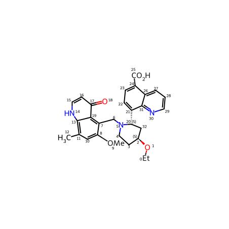 CCO[C@H]1CCN(Cc2c(OC)cc(C)c3[nH]ccc(=O)c23)[C@H](c2ccc(C(=O)O)c3cccnc23)C1